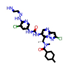 CC1CCC(C(=O)N(C)[C@H](C)c2c(NC(=O)Nc3cnc(N/N=C\C=N)c(Cl)c3)cnc3cc(Cl)nn23)CC1